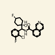 O=C(NC(c1cccc(F)c1Cl)[C@]1(O)CC[C@@H](F)CC1)c1cccc2ccncc12